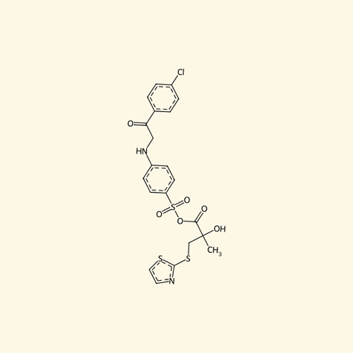 CC(O)(CSc1nccs1)C(=O)OS(=O)(=O)c1ccc(NCC(=O)c2ccc(Cl)cc2)cc1